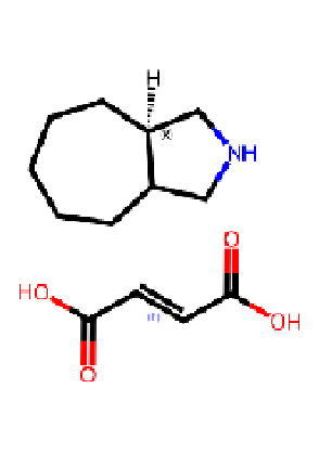 C1CCC2CNC[C@@H]2CC1.O=C(O)/C=C/C(=O)O